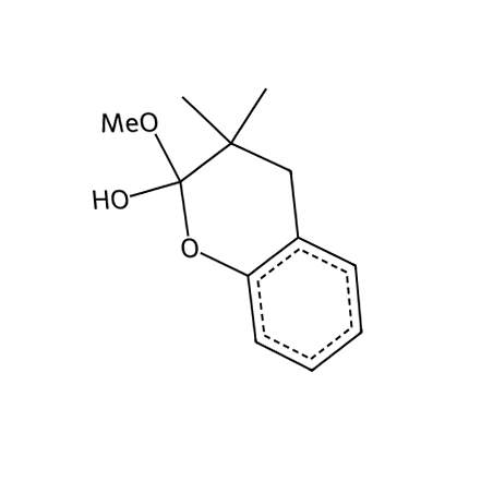 COC1(O)Oc2ccccc2CC1(C)C